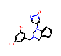 Oc1cc(O)cc(CN2Cc3ccccc3N(c3cnn(O)c3)C2)c1